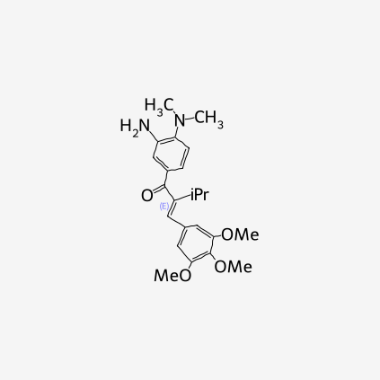 COc1cc(/C=C(/C(=O)c2ccc(N(C)C)c(N)c2)C(C)C)cc(OC)c1OC